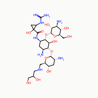 N=C(N)NC1CC1(O)C(=O)N[C@@H]1C[C@H](N)[C@@H](O[C@H]2O[C@H](CNCC(O)CO)[C@@H](O)C[C@H]2N)[C@H](O)[C@H]1O[C@H]1O[C@H](CO)[C@@H](O)[C@H](N)[C@H]1O